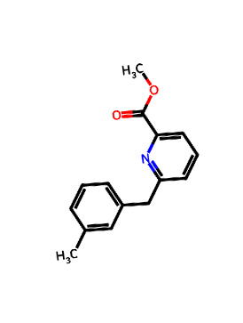 COC(=O)c1cccc(Cc2cccc(C)c2)n1